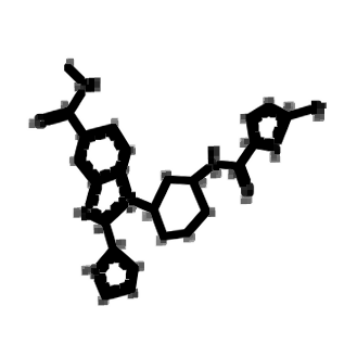 CNC(=O)c1ccc2c(c1)nc(-c1cccs1)n2C1CCCC(NC(=O)c2ccc(Br)s2)C1